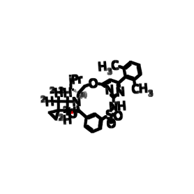 [2H]C1([2H])C2(CC2)C([2H])([2H])C1([2H])N1C(=O)c2cccc(c2)S(=O)(=O)Nc2nc(cc(-c3c(C)cccc3C)n2)OC[C@H]1CC(C)C